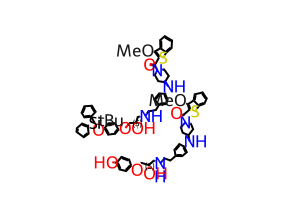 COc1c(C(=O)N2CCC(Nc3ccc(CCNC[C@H](O)COc4ccc(O)cc4)cc3)CC2)sc2ccccc12.COc1c(C(=O)N2CCC(Nc3ccc(CCNC[C@H](O)COc4ccc(O[Si](c5ccccc5)(c5ccccc5)C(C)(C)C)cc4)cc3)CC2)sc2ccccc12